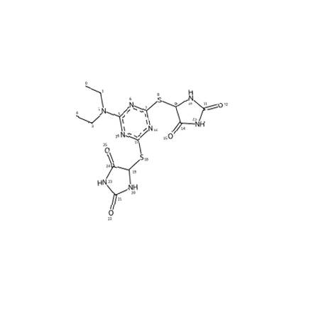 CCN(CC)c1nc(SC2NC(=O)NC2=O)nc(SC2NC(=O)NC2=O)n1